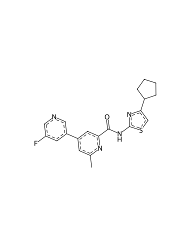 Cc1cc(-c2cncc(F)c2)cc(C(=O)Nc2nc(C3CCCC3)cs2)n1